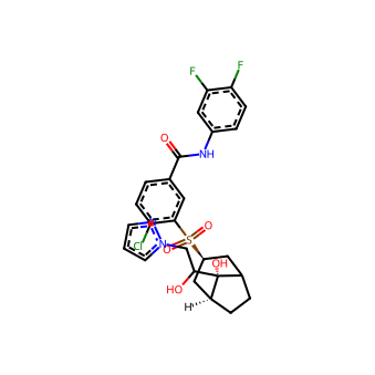 O=C(Nc1ccc(F)c(F)c1)c1ccc(Cl)c(S(=O)(=O)[C@H]2CC3CC[C@@H](C2)[C@@]3(O)C(O)Cn2cccn2)c1